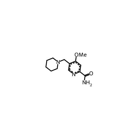 COc1cc(C(N)=O)ncc1CN1CCCCC1